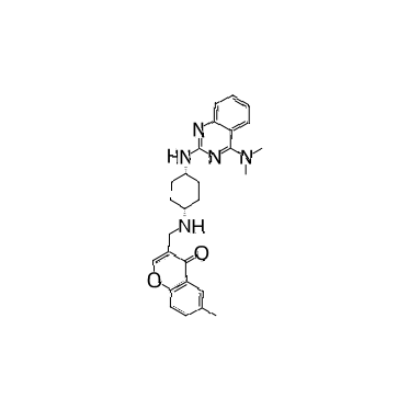 Cc1ccc2occ(CN[C@H]3CC[C@@H](Nc4nc(N(C)C)c5ccccc5n4)CC3)c(=O)c2c1